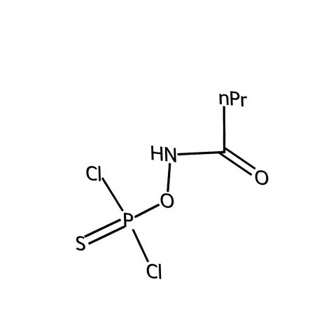 CCCC(=O)NOP(=S)(Cl)Cl